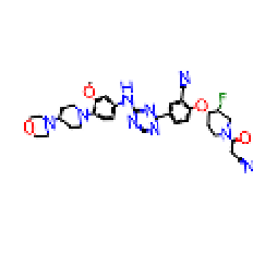 COc1cc(Nc2ncnc(-c3ccc(OC4CCN(C(=O)CC#N)CC4F)c(C#N)c3)n2)ccc1N1CCC(N2CCOCC2)CC1